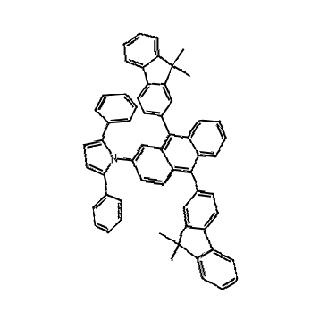 CC1(C)c2ccccc2-c2ccc(-c3c4ccccc4c(-c4ccc5c(c4)C(C)(C)c4ccccc4-5)c4cc(-n5c(-c6ccccc6)ccc5-c5ccccc5)ccc34)cc21